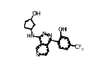 Oc1cc(C(F)(F)F)ccc1-c1nnc(N[C@H]2CC[C@@H](O)C2)c2cnccc12